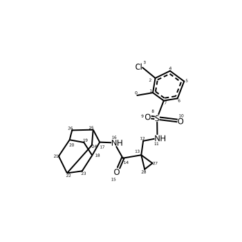 Cc1c(Cl)cccc1S(=O)(=O)NCC1(C(=O)NC2C3CC4CC(C3)CC2C4)CC1